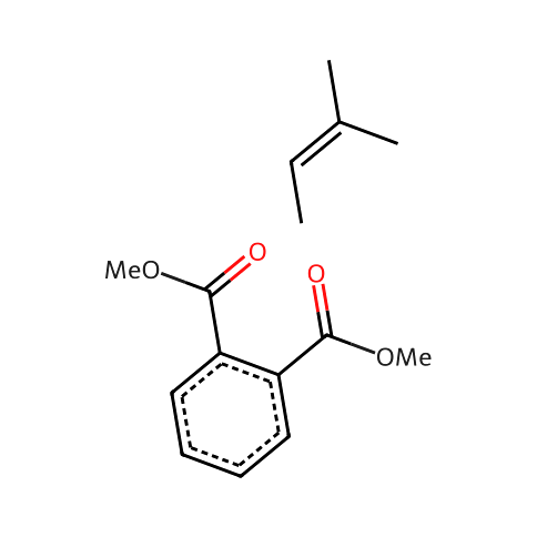 CC=C(C)C.COC(=O)c1ccccc1C(=O)OC